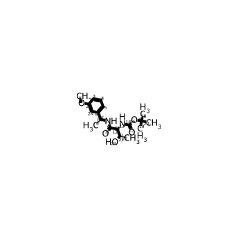 COc1cccc([C@@H](C)NC(=O)[C@H](NC(=O)OC(C)(C)C)[C@H](C)O)c1